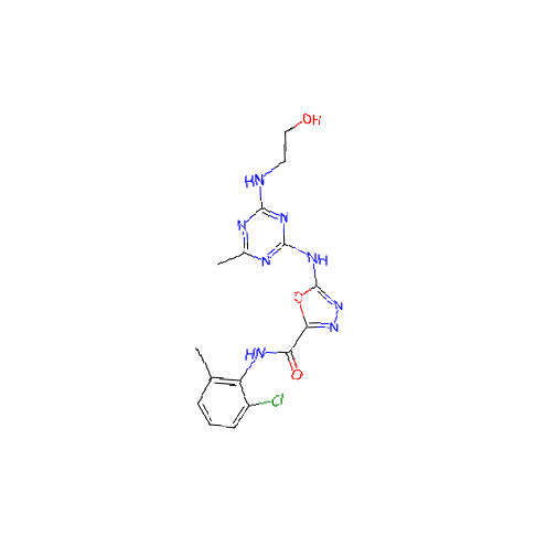 Cc1nc(NCCO)nc(Nc2nnc(C(=O)Nc3c(C)cccc3Cl)o2)n1